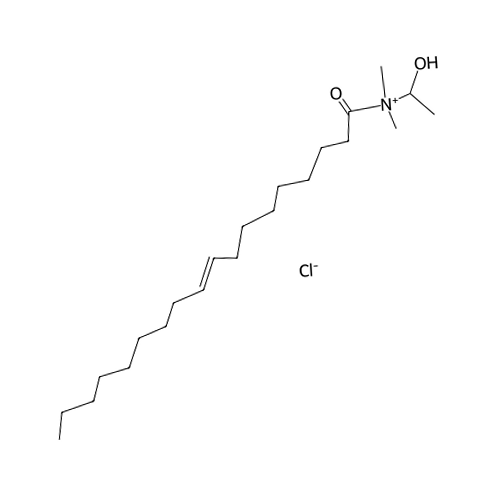 CCCCCCCCC=CCCCCCCCC(=O)[N+](C)(C)C(C)O.[Cl-]